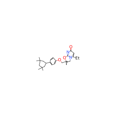 CCc1cc(=O)nc2n1C[C@](C)(COc1ccc(C3CC(C)(C)CC(C)(C)C3)cc1)O2